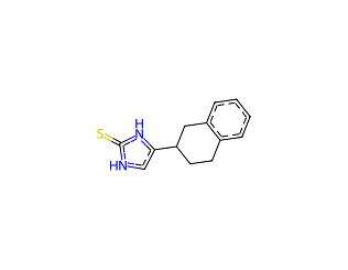 S=c1[nH]cc(C2CCc3ccccc3C2)[nH]1